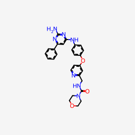 Nc1nc(Nc2ccc(Oc3ccnc(CNC(=O)N4CCOCC4)c3)cc2)cc(-c2ccccc2)n1